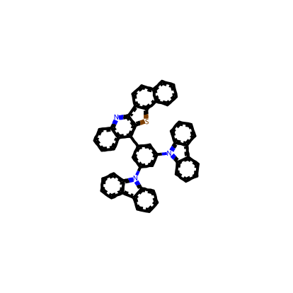 c1ccc2c(c1)ccc1c3nc4ccccc4c(-c4cc(-n5c6ccccc6c6ccccc65)cc(-n5c6ccccc6c6ccccc65)c4)c3sc21